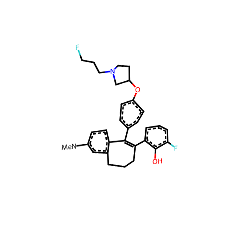 CNc1ccc2c(c1)CCCC(c1cccc(F)c1O)=C2c1ccc(OC2CCN(CCCF)C2)cc1